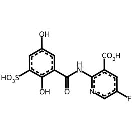 O=C(O)c1cc(F)cnc1NC(=O)c1cc(O)cc(S(=O)(=O)O)c1O